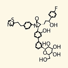 O=C1[C@H](CC[C@H](O)c2ccc(F)cc2)[C@@H](c2ccc(-c3cccc([C@@H]4O[C@H](CO)[C@@H](O)[C@H](O)[C@H]4O)c3)cc2O)N1c1ccc(CCc2cncs2)cc1